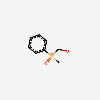 C[P@](=O)(CO)c1ccccc1